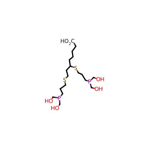 O=C(O)CCCCC(CCSCCCP(CO)CO)SCCCP(CO)CO